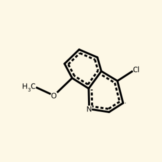 COc1cccc2c(Cl)[c]cnc12